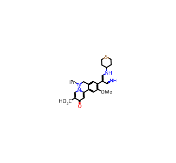 COc1cc2c(cc1/C(C=N)=C/NC1CCSCC1)CN(C(C)C)n1cc(C(=O)O)c(=O)cc1-2